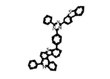 C1=C(c2nc(-c3ccccc3)nc(-c3ccc(-c4cccc5c4sc4ccc6c(-c7ccccc7)nc7ccccc7c6c45)cc3)n2)CC2Sc3ccccc3C2=C1